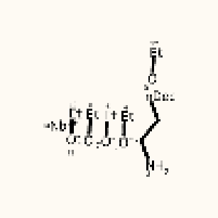 CCCCCCCCCCCCN.CC[O-].CC[O-].CC[O-].CC[O-].CC[O-].[Nb+5]